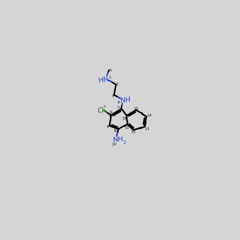 CNCCNc1c(Cl)cc(N)c2ccccc12